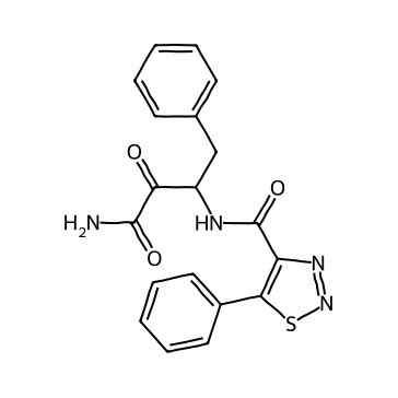 NC(=O)C(=O)C(Cc1ccccc1)NC(=O)c1nnsc1-c1ccccc1